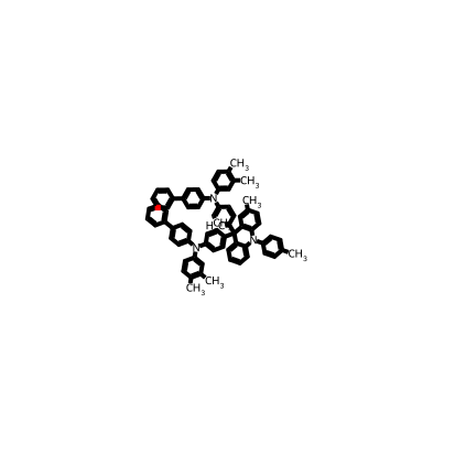 C=C(/C=C\C(=C/C)N(c1ccc(-c2ccccc2)cc1)c1ccc(C)c(C)c1)C1(c2ccc(N(c3ccc(-c4ccccc4)cc3)c3ccc(C)c(C)c3)cc2)c2ccccc2N(c2ccc(C)cc2)c2ccc(C)cc21